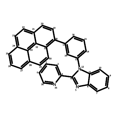 c1ccc(-c2nc3ccccc3n2-c2cccc(-c3ccc4ccc5cccc6ccc3c4c56)c2)nc1